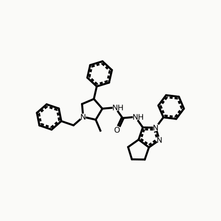 CC1C(NC(=O)Nc2c3c(nn2-c2ccccc2)CCC3)C(c2ccccc2)CN1Cc1ccccc1